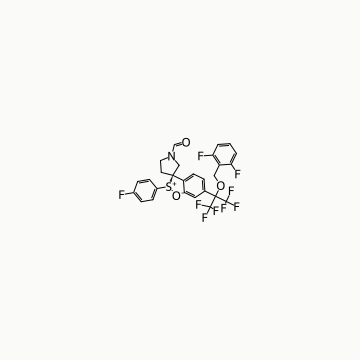 O=CN1CC[C@](c2ccc(C(OCc3c(F)cccc3F)(C(F)(F)F)C(F)(F)F)cc2)([S+]([O-])c2ccc(F)cc2)C1